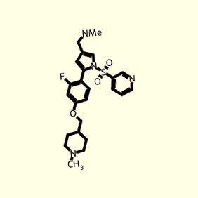 CNCc1cc(-c2ccc(OCC3CCN(C)CC3)cc2F)n(S(=O)(=O)c2cccnc2)c1